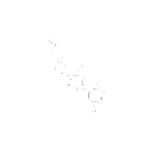 CC1(C)COC(O)(COc2nnc(-c3cc(Cl)ccc3F)cc2N)OC1